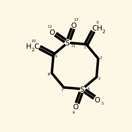 C=C1CCS(=O)(=O)CCC(=C)S1(=O)=O